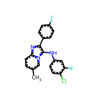 Cc1ccc2nc(-c3ccc(F)cc3)c(Nc3ccc(Cl)c(F)c3)n2c1